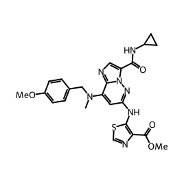 COC(=O)c1ncsc1Nc1cc(N(C)Cc2ccc(OC)cc2)c2ncc(C(=O)NC3CC3)n2n1